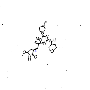 O=C1C/C(=C\c2cnn3c(N4CC[C@@H](F)C4)nc(NC4CCOCC4)nc23)C(=O)N1